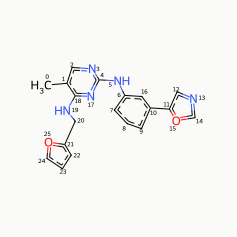 Cc1cnc(Nc2cccc(-c3cnco3)c2)nc1NCc1ccco1